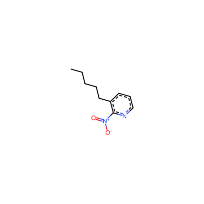 CCCCCc1cccnc1[N+](=O)[O-]